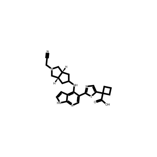 N#CCN1C[C@H]2CC(Nc3c(-c4ncc(C5(C(=O)O)CCC5)s4)cnc4[nH]ccc34)C[C@H]2C1